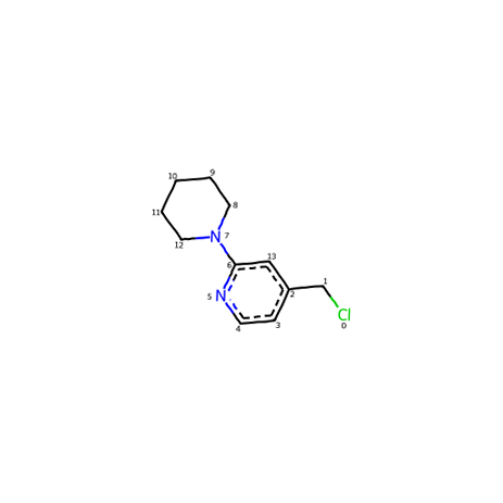 ClCc1ccnc(N2CCCCC2)c1